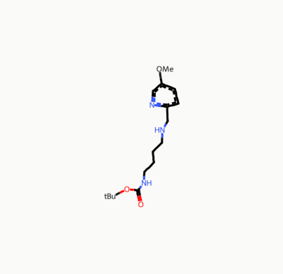 COc1ccc(CNCCCCNC(=O)OC(C)(C)C)nc1